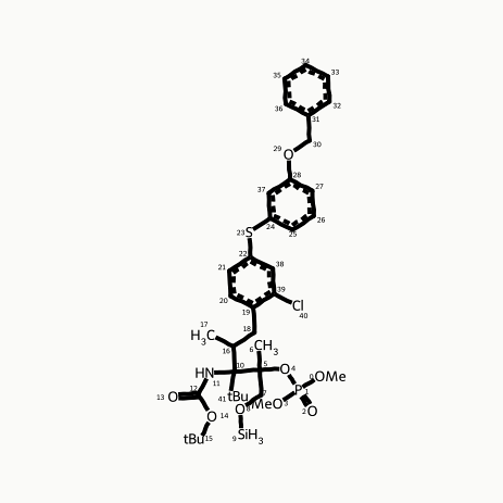 COP(=O)(OC)OC(C)(CO[SiH3])C(NC(=O)OC(C)(C)C)(C(C)Cc1ccc(Sc2cccc(OCc3ccccc3)c2)cc1Cl)C(C)(C)C